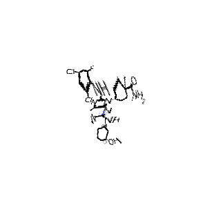 C=N/C(=N\c1c(C)nc(Nc2c(F)cc(Cl)cc2Cl)n1[C@H]1CC[C@@](C)(C(N)=O)CC1)N[C@@H]1CCC[C@H](O)C1